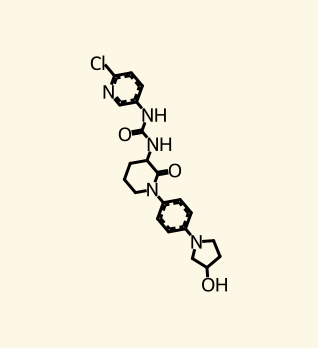 O=C(Nc1ccc(Cl)nc1)NC1CCCN(c2ccc(N3CCC(O)C3)cc2)C1=O